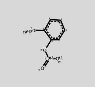 CCCCCc1ccccc1O[PH](=O)O